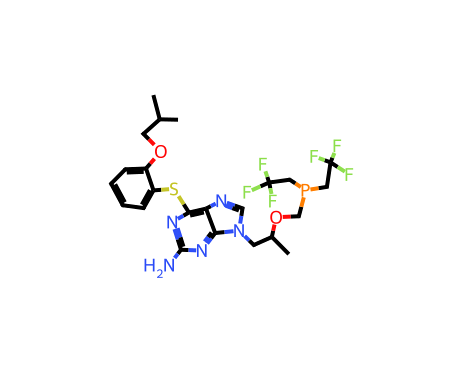 CC(C)COc1ccccc1Sc1nc(N)nc2c1ncn2CC(C)OCP(CC(F)(F)F)CC(F)(F)F